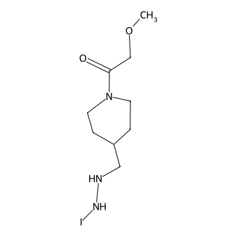 COCC(=O)N1CCC(CNNI)CC1